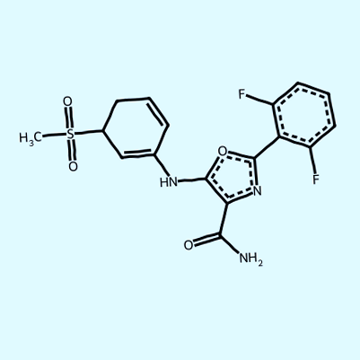 CS(=O)(=O)C1C=C(Nc2oc(-c3c(F)cccc3F)nc2C(N)=O)C=CC1